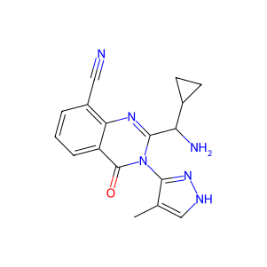 Cc1c[nH]nc1-n1c(C(N)C2CC2)nc2c(C#N)cccc2c1=O